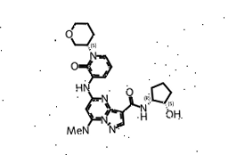 CNc1cc(Nc2cccn([C@H]3CCCOC3)c2=O)nc2c(C(=O)N[C@@H]3CCC[C@@H]3O)cnn12